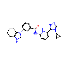 O=C(NC1C=CC=C(c2nncn2C2CC2)N1)c1cccc(N2CNC3=C2CCCC3)c1